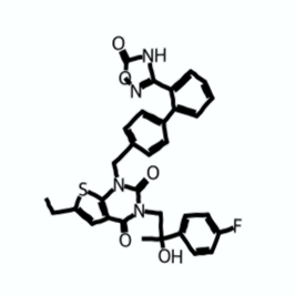 CCc1cc2c(=O)n(CC(C)(O)c3ccc(F)cc3)c(=O)n(Cc3ccc(-c4ccccc4-c4noc(=O)[nH]4)cc3)c2s1